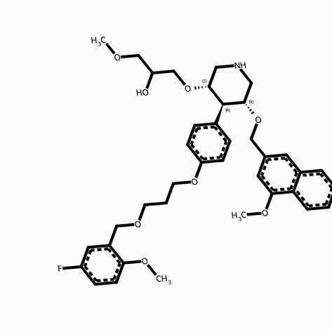 COCC(O)CO[C@@H]1CNC[C@H](OCc2cc(OC)c3ccccc3c2)[C@H]1c1ccc(OCCCOCc2cc(F)ccc2OC)cc1